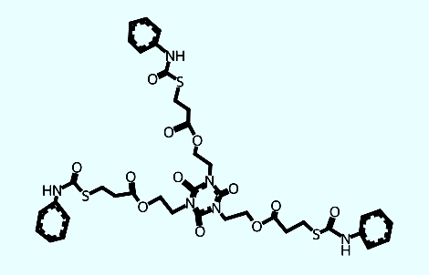 O=C(CCSC(=O)Nc1ccccc1)OCCn1c(=O)n(CCOC(=O)CCSC(=O)Nc2ccccc2)c(=O)n(CCOC(=O)CCSC(=O)Nc2ccccc2)c1=O